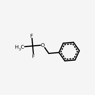 CC(F)(F)OCc1ccccc1